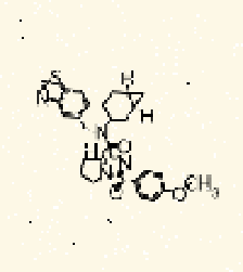 CN=[S@](=O)(c1ccc(OC)cc1)N1CCC[C@H]1C(=O)N(Cc1ccc2scnc2c1)[C@H]1CC[C@H]2C[C@H]2C1